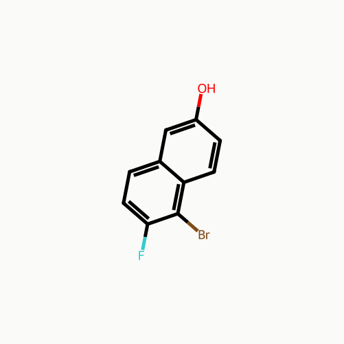 Oc1ccc2c(Br)c(F)ccc2c1